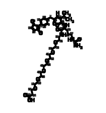 CC(C)[C@H](NC(=O)Cc1ccc(N2C(=O)C=CC2=O)cc1)C(=O)N[C@@H](CCCNC(N)=O)C(=O)NCCOCCOCCOCCOCCOCCOCCC(=O)O